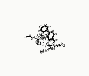 C=CCOC(=O)NS(=O)(=O)c1ccccc1-c1ccc(Cn2c(CCCC)nc(SC)c2C(=O)OCC)cc1